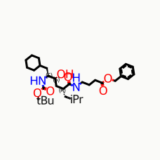 CC(C)C[C@H](C[C@H](O)[C@H](CC1CCCCC1)NC(=O)OC(C)(C)C)C(=O)NCCCC(=O)OCc1ccccc1